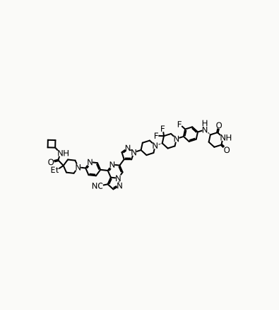 CCC1(C(=O)NC2CCC2)CCN(c2ccc(-c3nc(-c4cnn(C5CCN([C@H]6CCN(c7ccc(N[C@H]8CCC(=O)NC8=O)cc7F)CC6(F)F)CC5)c4)cn4ncc(C#N)c34)cn2)CC1